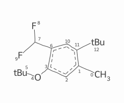 Cc1cc(OC(C)(C)C)c(C(F)F)cc1C(C)(C)C